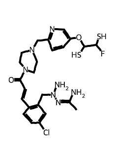 C/C(N)=N/N(N)Cc1cc(Cl)ccc1/C=C/C(=O)N1CCN(Cc2ccc(OC(S)C(F)S)cn2)CC1